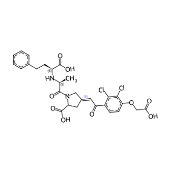 C[C@H](N[C@@H](CCc1ccccc1)C(=O)O)C(=O)N1C/C(=C/C(=O)c2ccc(OCC(=O)O)c(Cl)c2Cl)CC1C(=O)O